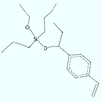 C=Cc1ccc(C(CC)O[Si](CCC)(CCC)OCC)cc1